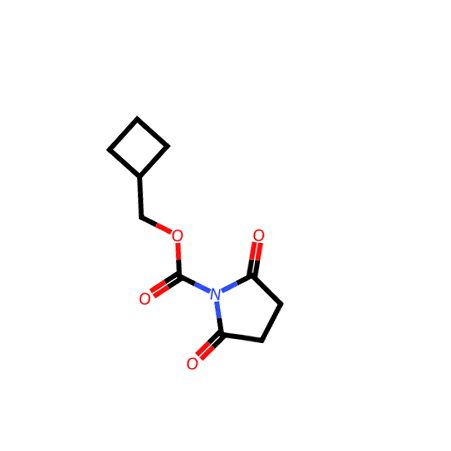 O=C1CCC(=O)N1C(=O)OCC1CCC1